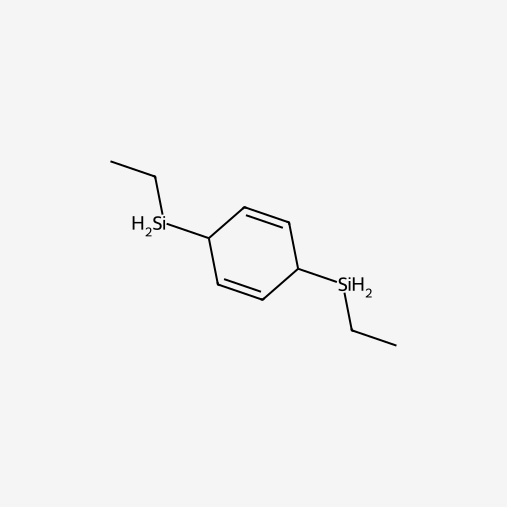 CC[SiH2]C1C=CC([SiH2]CC)C=C1